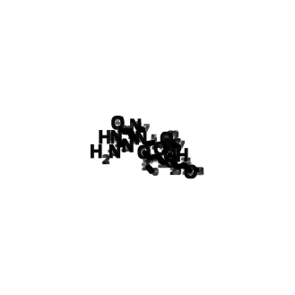 CC[C@H](OC(C)n1cnc2c(=O)[nH]c(N)nc21)C(COCCOC)OP(O)(=S)OC